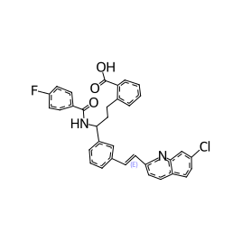 O=C(NC(CCc1ccccc1C(=O)O)c1cccc(/C=C/c2ccc3ccc(Cl)cc3n2)c1)c1ccc(F)cc1